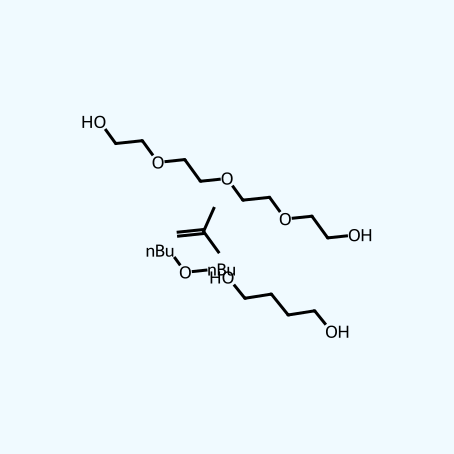 C=C(C)C.CCCCOCCCC.OCCCCO.OCCOCCOCCOCCO